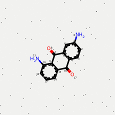 Nc1ccc2c(c1)C(=O)c1c(N)cccc1C2=O